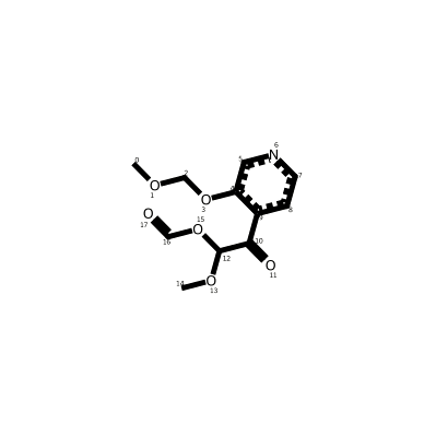 COCOc1cnccc1C(=O)C(OC)OC=O